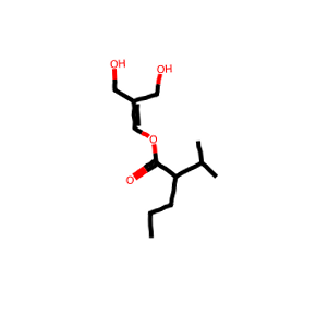 CCCC(C(=O)OC=C(CO)CO)C(C)C